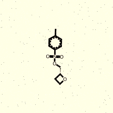 Cc1ccc(S(=O)(=O)OC[C@H]2CCO2)cc1